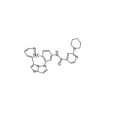 Cc1ccc(NC(=O)c2ccnc(N3CCCCC3)c2)cc1-n1ccc2ncc(-c3cccnc3)n21